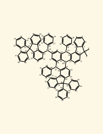 CC1(C)c2ccccc2-c2c1ccc1c2N(c2ccccc2)c2cc(N(c3ccccc3)c3cccc4c3-c3ccccc3C4(c3ccccc3)c3ccccc3)cc3c2B1c1ccc2c(c1N3c1ccccc1)-c1ccccc1C2(c1ccccc1)c1ccccc1